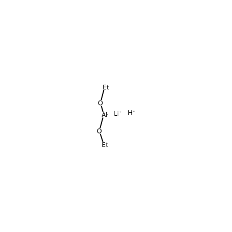 CC[O][Al][O]CC.[H-].[Li+]